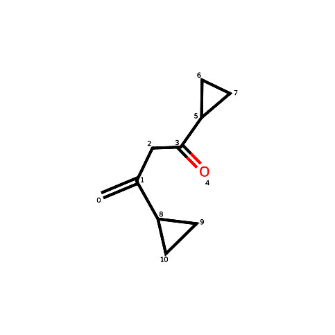 C=C(CC(=O)C1CC1)C1CC1